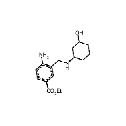 CCOC(=O)c1ccc(N)c(CN[C@@H]2CCC[C@H](O)C2)c1